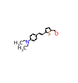 CCN(CC)c1ccc(/C=C/c2ccc(C=O)s2)cc1